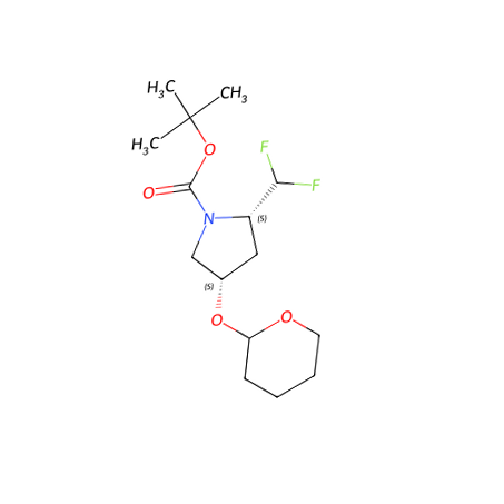 CC(C)(C)OC(=O)N1C[C@@H](OC2CCCCO2)C[C@H]1C(F)F